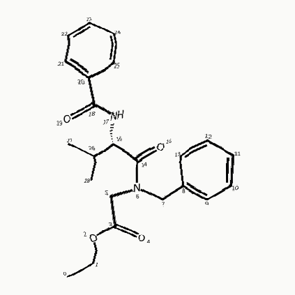 CCOC(=O)CN(Cc1ccccc1)C(=O)[C@@H](NC(=O)c1ccccc1)C(C)C